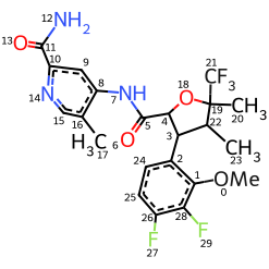 COc1c(C2C(C(=O)Nc3cc(C(N)=O)ncc3C)OC(C)(C(F)(F)F)C2C)ccc(F)c1F